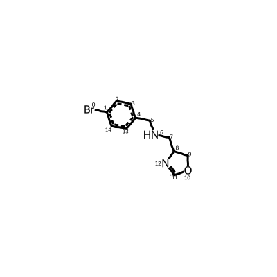 Brc1ccc(CNCC2CO[C]=N2)cc1